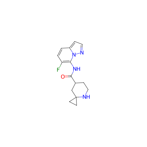 O=C(Nc1c(F)ccc2ccnn12)C1CCNC2(CC2)C1